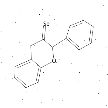 [Se]=C1Cc2ccccc2OC1c1ccccc1